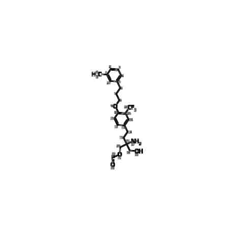 Cc1cccc(CCCOc2ccc(CCC(N)(CO)COP=O)cc2C(F)(F)F)c1